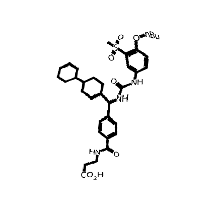 CCCCOc1ccc(NC(=O)NC(c2ccc(C(=O)NCCC(=O)O)cc2)C2CCC(C3CCCCC3)CC2)cc1S(C)(=O)=O